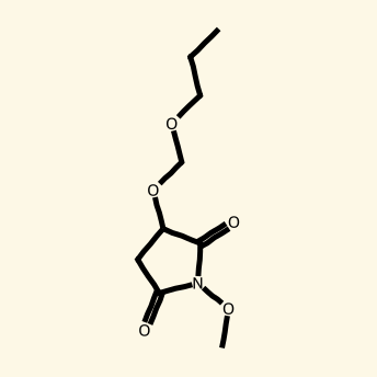 CCCOCOC1CC(=O)N(OC)C1=O